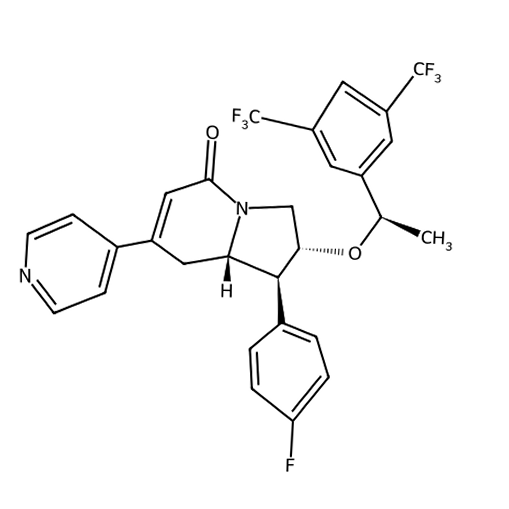 C[C@@H](O[C@H]1CN2C(=O)C=C(c3ccncc3)C[C@H]2[C@@H]1c1ccc(F)cc1)c1cc(C(F)(F)F)cc(C(F)(F)F)c1